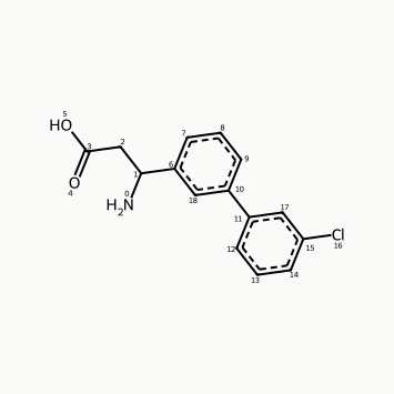 NC(CC(=O)O)c1cccc(-c2cccc(Cl)c2)c1